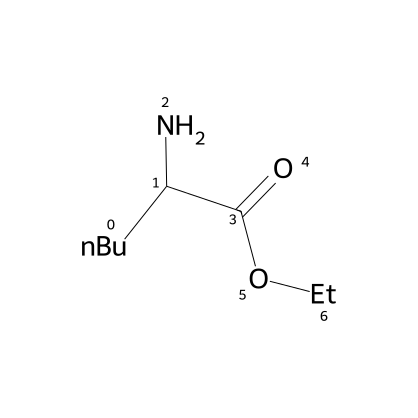 [CH2]CCCC(N)C(=O)OCC